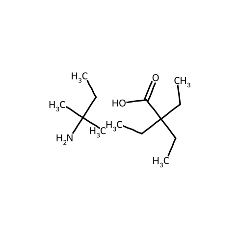 CCC(C)(C)N.CCC(CC)(CC)C(=O)O